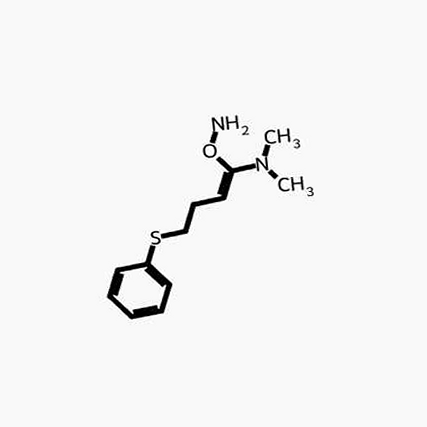 CN(C)C(=CCCSc1ccccc1)ON